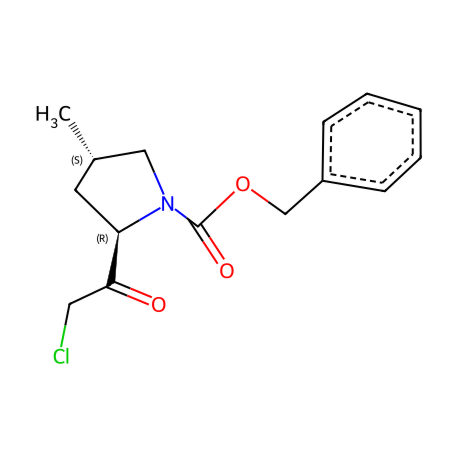 C[C@H]1C[C@H](C(=O)CCl)N(C(=O)OCc2ccccc2)C1